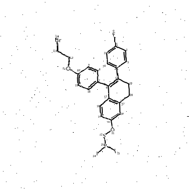 Fc1ccc(C2=C(c3ccc(OCCBr)cc3)c3ccc(OSP(I)I)cc3CC2)cc1